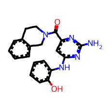 Nc1nc(Nc2ccccc2O)cc(C(=O)N2CCc3ccccc3C2)n1